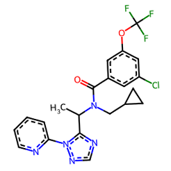 CC(c1ncnn1-c1ccccn1)N(CC1CC1)C(=O)c1cc(Cl)cc(OC(F)(F)F)c1